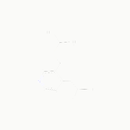 CC(C)Cc1ccncc1CSC(C)C